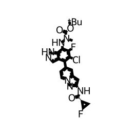 CN(Nc1c(F)c(Cl)c(-c2ccn3nc(NC(=O)[C@@H]4C[C@@H]4F)cc3c2)c2cn[nH]c12)C(=O)OC(C)(C)C